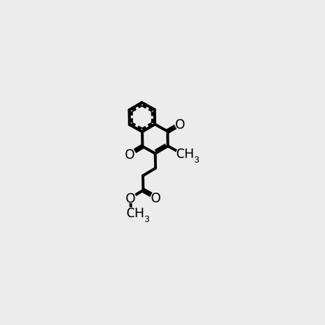 COC(=O)CCC1=C(C)C(=O)c2ccccc2C1=O